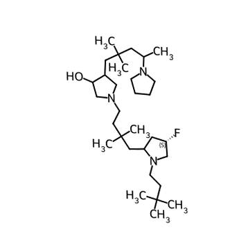 CC(CC(C)(C)CC1CN(CCC(C)(C)CC2C[C@H](F)CN2CCC(C)(C)C)CC1O)N1CCCC1